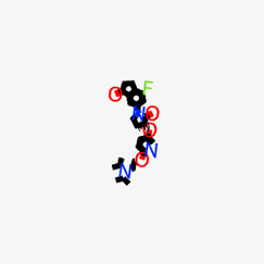 CC(C)N(CCOc1ccc(O[C@@H]2CCN(c3cc(F)c4c(c3)C(=O)CC4)C2=O)cn1)C(C)C